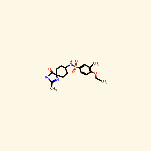 CCOc1ccc(S(=O)(=O)NC2CCC3(CC2)N=C(C)NC3=O)cc1C